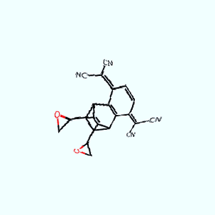 N#CC(C#N)=c1ccc(=C(C#N)C#N)c2c1C1CCC2C(C2CO2)=C1C1CO1